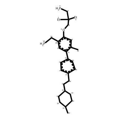 CCC(CC)(CP)COc1cc(C)c(-c2ccc(CCC3CCC(C)CC3)cc2)cc1CP